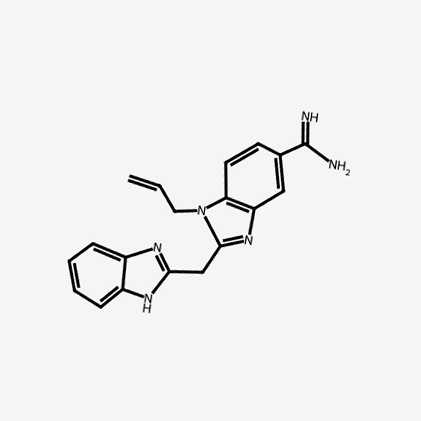 C=CCn1c(Cc2nc3ccccc3[nH]2)nc2cc(C(=N)N)ccc21